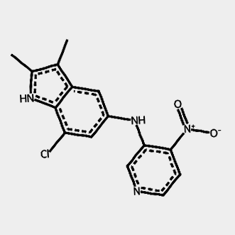 Cc1[nH]c2c(Cl)cc(Nc3cnccc3[N+](=O)[O-])cc2c1C